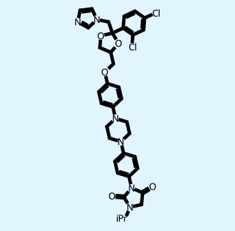 CC(C)N1CC(=O)N(c2ccc(N3CCN(c4ccc(OCC5COC(Cn6ccnc6)(c6ccc(Cl)cc6Cl)O5)cc4)CC3)cc2)C1=O